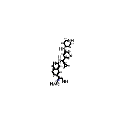 CN/C=C(\C=N)c1ccc2cnc(NC(=C3CC3)c3cncc(NC4CCNCC4)c3)cc2c1